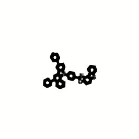 c1ccc(-c2ccc3c(c2)c2cc(-c4ccccc4)c4ccccc4c2n3-c2ccc(-c3nc4c(ccc5sc6ccccc6c54)o3)cc2)cc1